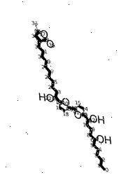 CCCCCCC(O)CCC[C@H](O)[C@H]1CC[C@@H]([C@@H]2CC[C@@H]([C@@H](O)CCCCCCCCCCC3=C[C@H](C)OC3=O)O2)O1